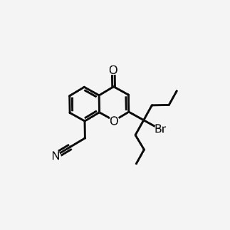 CCCC(Br)(CCC)c1cc(=O)c2cccc(CC#N)c2o1